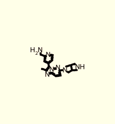 Cc1nc2ccc(N3CC4CNCC4C3)nn2c1-c1ccnc(CN)c1